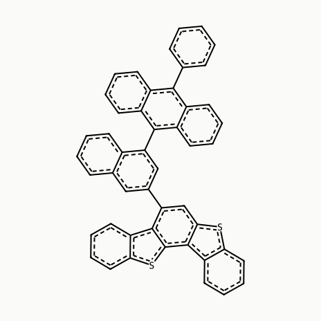 c1ccc(-c2c3ccccc3c(-c3cc(-c4cc5sc6ccccc6c5c5sc6ccccc6c45)cc4ccccc34)c3ccccc23)cc1